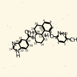 Cc1ccc(Oc2cccc3c2[C@H]2CCCN(C(=O)c4ccc5[nH]cnc5c4)[C@H]2CC3)nn1